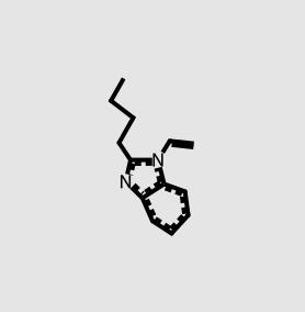 C=Cn1c(CCCC)nc2ccccc21